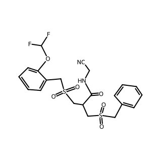 N#CCNC(=O)C(CS(=O)(=O)Cc1ccccc1)CS(=O)(=O)Cc1ccccc1OC(F)F